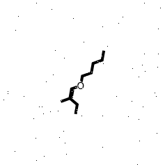 CCCCCOC=C(C)CC